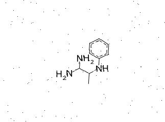 CC(Nc1ccccc1)C(N)N